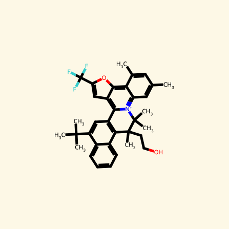 Cc1cc(C)c2c3oc(C(F)(F)F)cc3c3[n+](c2c1)C(C)(C)C(C)(CCO)c1c-3cc(C(C)(C)C)c2ccccc12